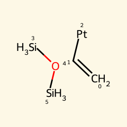 C=[CH][Pt].[SiH3]O[SiH3]